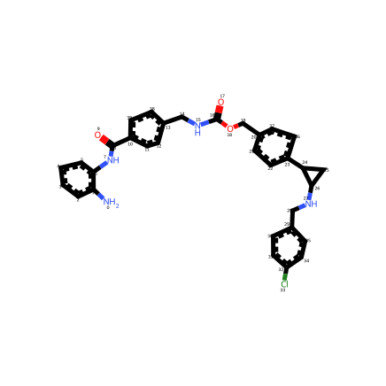 Nc1ccccc1NC(=O)c1ccc(CNC(=O)OCc2ccc(C3CC3NCc3ccc(Cl)cc3)cc2)cc1